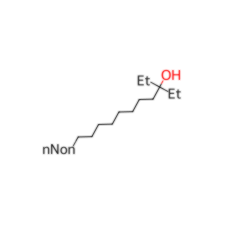 CCCCCCCCCCCCCCCCCC(O)(CC)CC